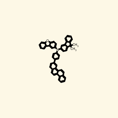 CC1(C)c2ccccc2-c2cc(N(c3ccc(-c4ccc5ccc6c7ccccc7ccc6c5c4)cc3)c3ccc4oc5ccccc5c4c3)ccc21